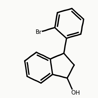 OC1CC(c2ccccc2Br)c2ccccc21